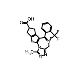 Cc1nnc2n1-c1sc3c(c1C(c1ccccc1C(F)(F)F)=NC2)CC(C(=O)O)C3